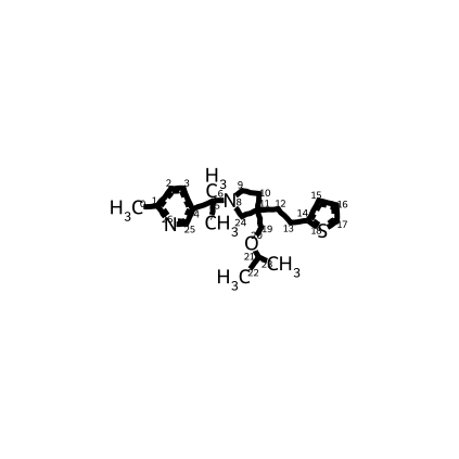 Cc1ccc(C(C)(C)N2CCC(CCc3cccs3)(COC(C)C)C2)cn1